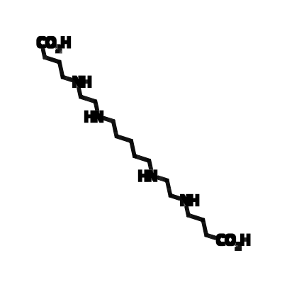 O=C(O)CCCNCCNCCCCCNCCNCCCC(=O)O